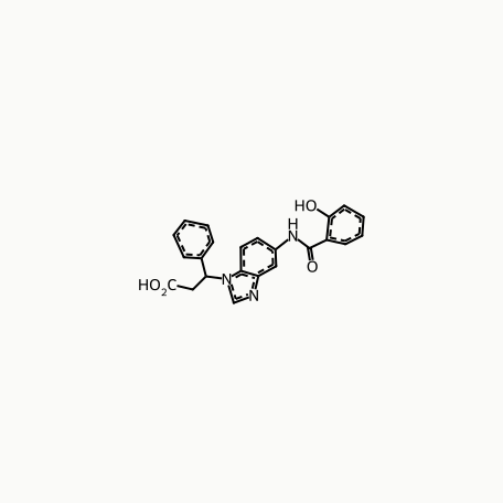 O=C(O)CC(c1ccccc1)n1cnc2cc(NC(=O)c3ccccc3O)ccc21